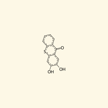 O=c1c2ccccc2sc2cc(O)c(O)cc12